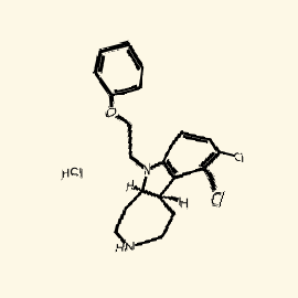 Cl.Clc1ccc2c(c1Cl)[C@@H]1CCNCC[C@@H]1N2CCOc1ccccc1